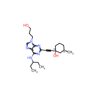 CCC(CC)Nc1nc(C#C[C@]2(O)CCC[C@@H](C)C2)nc2c1ncn2CCCO